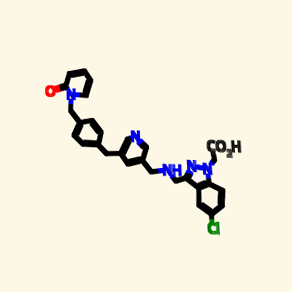 O=C(O)Cn1nc(CNCc2cncc(Cc3ccc(Cn4ccccc4=O)cc3)c2)c2cc(Cl)ccc21